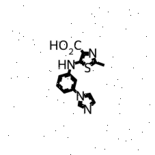 Cc1nc(C(=O)O)c(Nc2cccc(-n3ccnc3)c2)s1